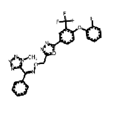 Cn1nnnc1/C(=N\OCc1nnc(-c2ccc(Oc3ccccc3F)c(C(F)(F)F)c2)o1)c1ccccc1